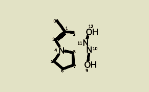 CC(C)=CN1CCCC1.ON=NO